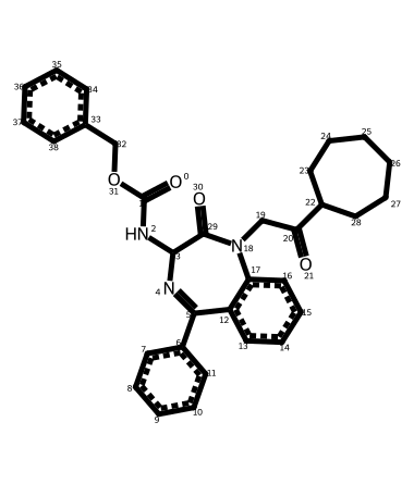 O=C(NC1N=C(c2ccccc2)c2ccccc2N(CC(=O)C2CCCCCC2)C1=O)OCc1ccccc1